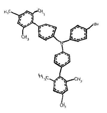 CCCCc1ccc(N(c2ccc(-c3c(C)cc(C)cc3C)cc2)c2ccc(-c3c(C)cc(C)cc3C)cc2)cc1